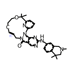 CN1Cc2cc(Nc3ncc4c(=O)n5n(c4n3)-c3cccc(n3)C(C)(C)OCCC/C=C/C5)ccc2C(C)(C)C1